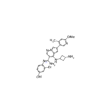 CCc1cc(O)ccc1/N=C(\N)c1cnn2cc(-c3cnc(OC)cc3C)cc2c1NC1CC(N)C1